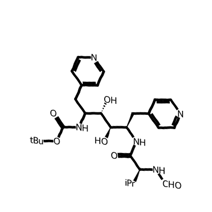 CC(C)[C@H](NC=O)C(=O)N[C@H](Cc1ccncc1)[C@@H](O)[C@@H](O)C(Cc1ccncc1)NC(=O)OC(C)(C)C